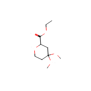 CCOC(=O)C1CC(OC)(OC)CCO1